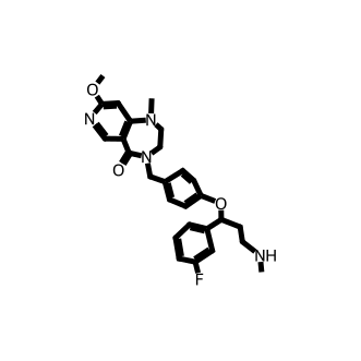 CNCCC(Oc1ccc(CN2CCN(C)c3cc(OC)ncc3C2=O)cc1)c1cccc(F)c1